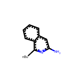 CCCCc1nc(N)cc2ccccc12